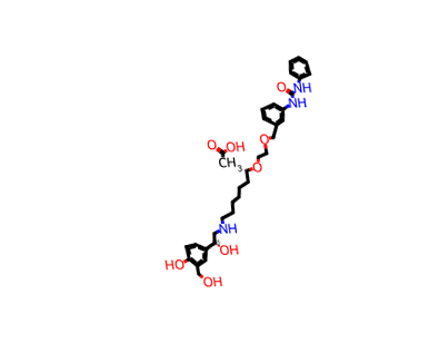 CC(=O)O.O=C(Nc1ccccc1)Nc1cccc(COCCOCCCCCCCNC[C@H](O)c2ccc(O)c(CO)c2)c1